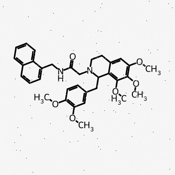 COc1ccc(CC2c3c(cc(OC)c(OC)c3OC)CCN2CC(=O)NCc2cccc3ccccc23)cc1OC